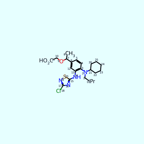 CC(C)CN(c1ccc(C(C)OCC(=O)O)cc1Nc1nc(Cl)ns1)C1CCCCC1